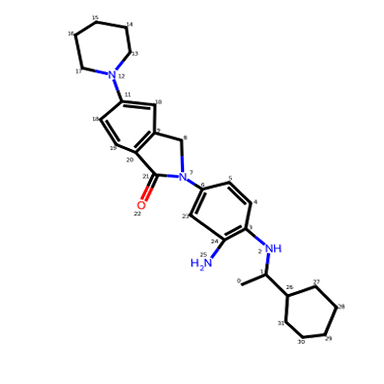 CC(Nc1ccc(N2Cc3cc(N4CCCCC4)ccc3C2=O)cc1N)C1CCCCC1